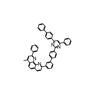 Cc1cc(-c2ccccc2)nc2c1ccc1ccc(-c3cccc(-c4ccc(-c5nc(-c6ccccc6)cc(-c6ccc(-c7ccccc7)cc6)n5)cc4)c3)nc12